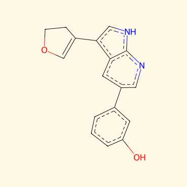 Oc1cccc(-c2cnc3[nH]cc(C4=COCC4)c3c2)c1